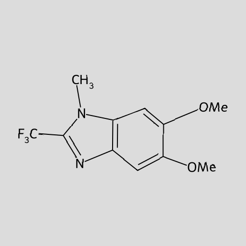 COc1cc2nc(C(F)(F)F)n(C)c2cc1OC